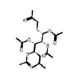 CC(=O)CC[C@H](OC(C)=O)[C@H](OC(C)=O)[C@@H](OC(C)=O)[C@@H](CC(C)C)OC(C)=O